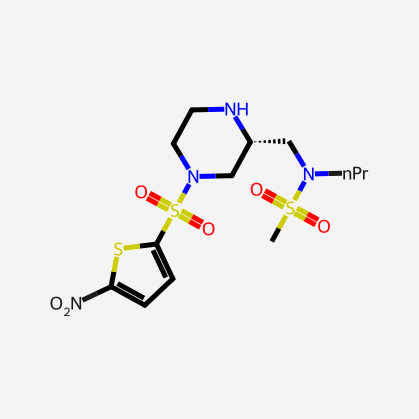 CCCN(C[C@@H]1CN(S(=O)(=O)c2ccc([N+](=O)[O-])s2)CCN1)S(C)(=O)=O